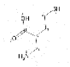 NCC(CCS)C(=O)O